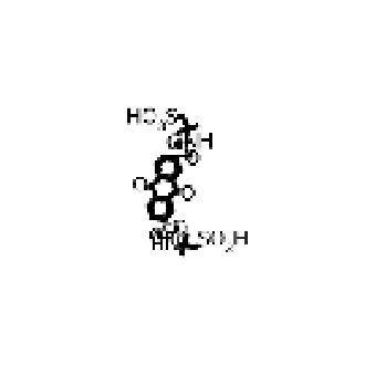 CC(C)(CS(=O)(=O)O)NS(=O)(=O)c1ccc2c(c1)C(=O)c1cc(S(=O)(=O)NC(C)(C)CS(=O)(=O)O)ccc1C2=O